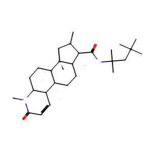 CC1C[C@H]2[C@@H]3CCC4N(C)C(=O)C=C[C@]4(C)[C@@H]3CC[C@]2(C)C1C(=O)NC(C)(C)CC(C)(C)C